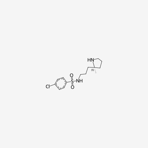 C[C@@]1(CCCNS(=O)(=O)c2ccc(Cl)cc2)CCCN1